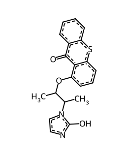 CC(Oc1cccc2sc3ccccc3c(=O)c12)C(C)n1ccnc1O